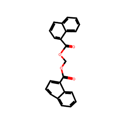 O=C(OCOC(=O)c1cccc2ccccc12)c1cccc2ccccc12